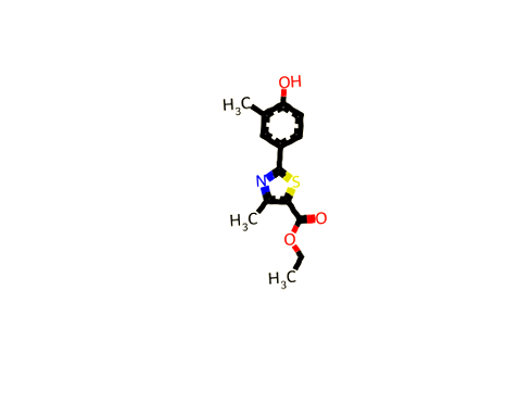 CCOC(=O)c1sc(-c2ccc(O)c(C)c2)nc1C